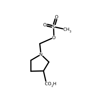 CS(=O)(=O)OCN1CCC(C(=O)O)C1